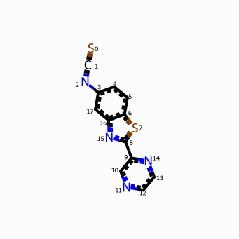 S=C=Nc1ccc2sc(-c3cnccn3)nc2c1